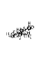 CC(C)Nc1c(C(=O)NC[C@@H](F)C(C)(C)O)cnc2sc(-c3ccc(=O)[nH]c3)cc12